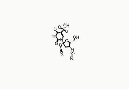 N#CO[C@]1(n2cc(S(=O)(=O)O)c(=O)[nH]c2=O)C[C@H](N=[N+]=[N-])[C@@H](CO)O1